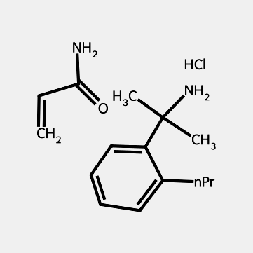 C=CC(N)=O.CCCc1ccccc1C(C)(C)N.Cl